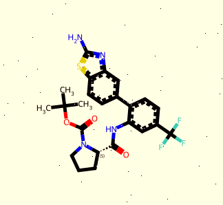 CC(C)(C)OC(=O)N1CCC[C@H]1C(=O)Nc1cc(C(F)(F)F)ccc1-c1[c]c2nc(N)sc2cc1